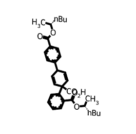 CCCC[C@@H](C)OC(=O)c1ccc(C2C=CC(C(=O)O)(c3ccccc3C(=O)O[C@H](C)CCCC)C=C2)cc1